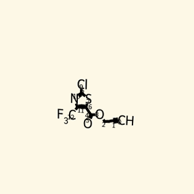 C#CCOC(=O)c1sc(Cl)nc1C(F)(F)F